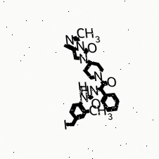 Cc1cc(CI)ccc1NC(=O)NC(C(=O)N1CCC(N2Cc3cnc(C)n3C2=O)CC1)c1ccccc1